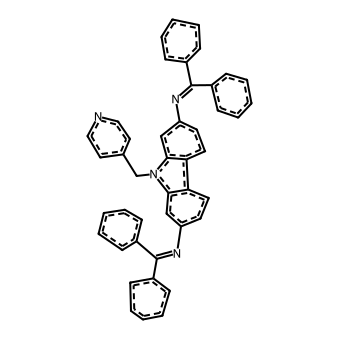 c1ccc(C(=Nc2ccc3c4ccc(N=C(c5ccccc5)c5ccccc5)cc4n(Cc4ccncc4)c3c2)c2ccccc2)cc1